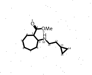 COC(=O)C1CCCCCC1NCCC1CC1